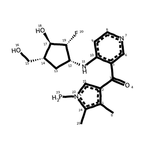 Cc1c(C(=O)c2cnccc2N[C@@H]2C[C@H](CO)[C@@H](O)[C@@H]2F)cn(P)c1C